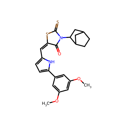 COc1cc(OC)cc(-c2ccc(/C=C3/SC(=S)N(C4CC5CCC4C5)C3=O)[nH]2)c1